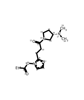 CCC(=O)On1ccnc1CCC(=O)N1CC[C@H](N(C)C)C1